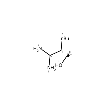 CC(C)O.CCCCCC(N)N